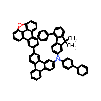 CC1(C)c2cc(N(c3ccc(-c4ccccc4)cc3)c3ccc4c5ccccc5c5ccc(-c6ccc7c(c6)c6cccc8oc9cccc7c9c86)cc5c4c3)ccc2-c2c(-c3ccccc3)cccc21